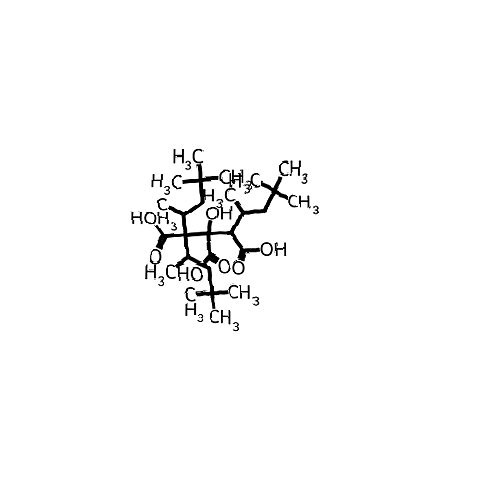 CC(CC(C)(C)C)C(C(=O)O)C(O)(C(=O)O)C(C(=O)O)(C(C)CC(C)(C)C)C(C)CC(C)(C)C